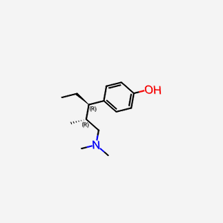 CC[C@@H](c1ccc(O)cc1)[C@@H](C)CN(C)C